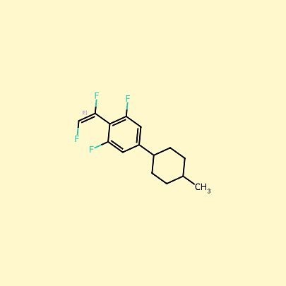 CC1CCC(c2cc(F)c(/C(F)=C\F)c(F)c2)CC1